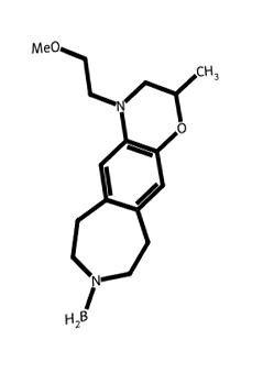 BN1CCc2cc3c(cc2CC1)N(CCOC)CC(C)O3